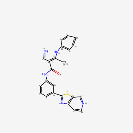 N=C/C(C(=O)Nc1cccc(-c2nc3ccncc3s2)c1)=C(\Nc1ccccc1)C(F)(F)F